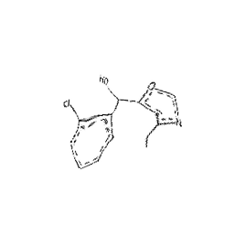 Cc1ncoc1C(O)c1ccccc1Cl